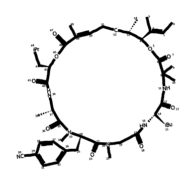 C/C=C(\C)[C@H]1OC(=O)C(C)(C)NC(=O)[C@H]([C@H](C)CC)NC(=O)CN(C)C(=O)[C@@H](Cc2ccc(C#N)cc2)N(C)C(=O)[C@H](C)NC(=O)[C@@H](CC(C)C)OC(=O)/C(C)=C/C[CH][C@@H]1C